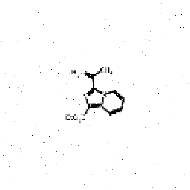 C=C(C)c1nc(C(=O)OCC)c2ccccn12